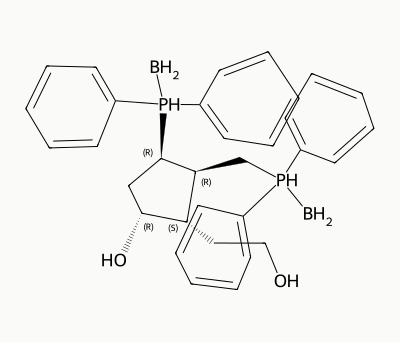 B[PH](C[C@H]1[C@H](CCO)[C@H](O)C[C@H]1[PH](B)(c1ccccc1)c1ccccc1)(c1ccccc1)c1ccccc1